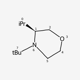 CC(C)[C@H]1COCCN1C(C)(C)C